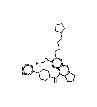 COc1cc2c(NC3CCN(c4cccnc4)CC3)c3c(nc2cc1COCCN1CCCC1)CCC3